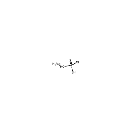 OP(O)(=S)S.[MgH2]